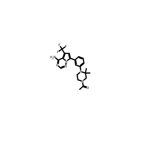 CC(=O)N1CCN(c2cccc(-c3cc(C(F)(F)F)c4c(N)ncnn34)c2)C(C)(C)C1